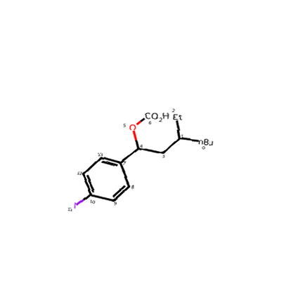 CCCCC(CC)CC(OC(=O)O)c1ccc(I)cc1